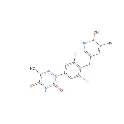 CC(C)C1=CC(Cc2c(Cl)cc(-n3nc(C#N)c(=O)[nH]c3=O)cc2Cl)=CNC1O